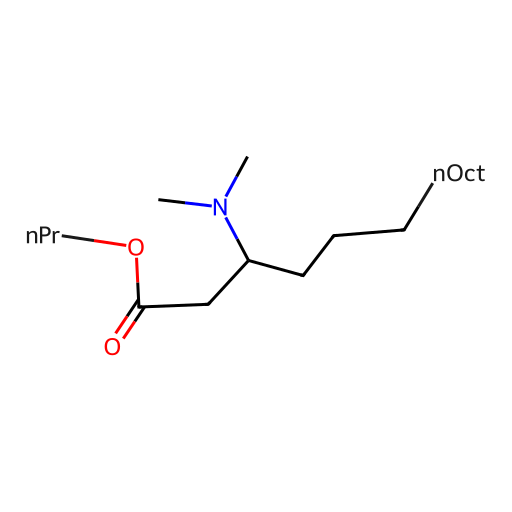 CCCCCCCCCCCC(CC(=O)OCCC)N(C)C